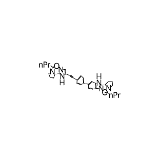 CCCC(=O)N1CCC[C@H]1c1ncc(C#Cc2ccc(-c3ccc4nc([C@@H]5CCCN5C(=O)CCC)[nH]c4c3)cc2)[nH]1